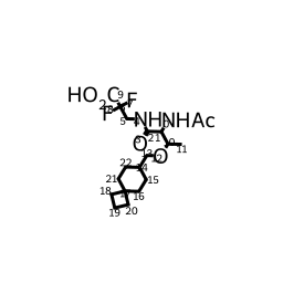 CC(=O)NC(C(=O)NCC(F)(F)C(=O)O)C(C)OCC1CCC2(CCC2)CC1